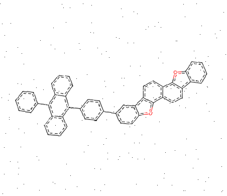 c1ccc(-c2c3ccccc3c(-c3ccc(-c4ccc5oc6c(ccc7c6ccc6c8ccccc8oc67)c5c4)cc3)c3ccccc23)cc1